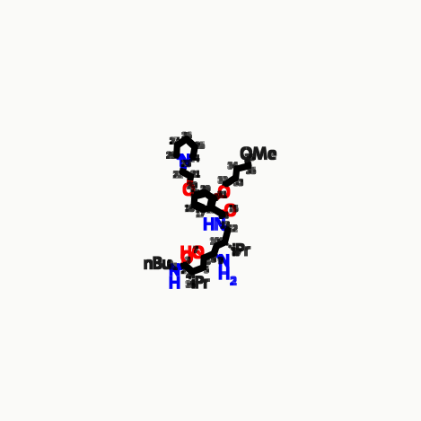 CCCCNC(=O)[C@@H](C[C@H](O)[C@@H](N)C[C@H](CNC(=O)c1ccc(OCCN2CCCCC2)cc1OCCCCOC)C(C)C)C(C)C